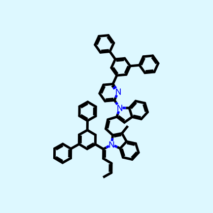 C/C=C\C=C(\C1=CC(c2ccccc2)=CC(c2ccccc2)C1)n1c(/C=C\c2cc3ccccc3n2-c2cccc(-c3cc(-c4ccccc4)cc(-c4ccccc4)c3)n2)c(C)c2ccccc21